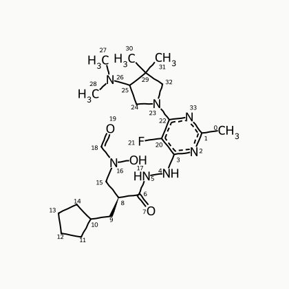 Cc1nc(NNC(=O)[C@@H](CC2CCCC2)CN(O)C=O)c(F)c(N2CC(N(C)C)C(C)(C)C2)n1